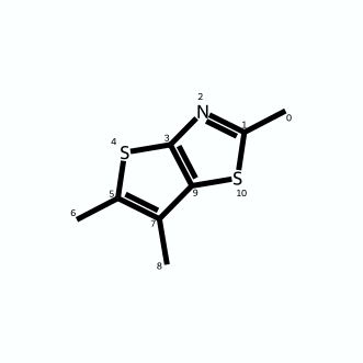 Cc1nc2sc(C)c(C)c2s1